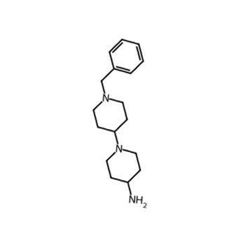 NC1CCN(C2CCN(Cc3ccccc3)CC2)CC1